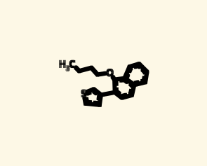 CCCCOc1c(-c2ccsc2)ccc2ccccc12